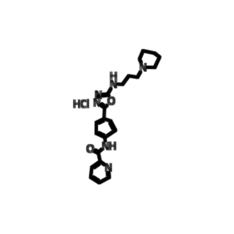 Cl.O=C(Nc1ccc(-c2nnc(NCCCN3CCCCC3)o2)cc1)c1ccccn1